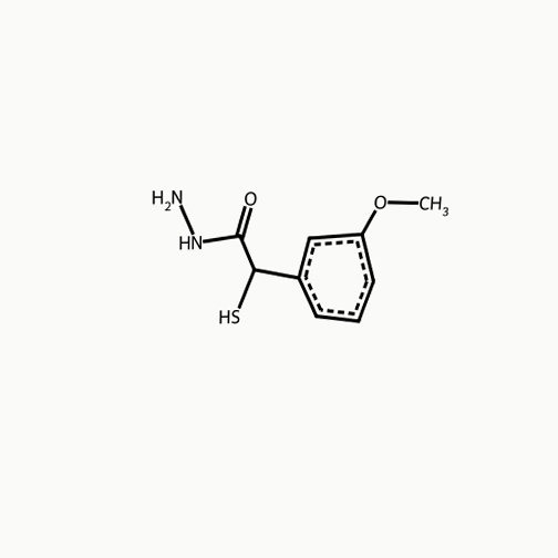 COc1cccc(C(S)C(=O)NN)c1